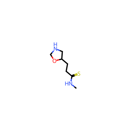 CNC(=S)CCC1CNCO1